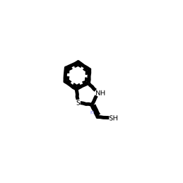 S/C=C1\Nc2ccccc2S1